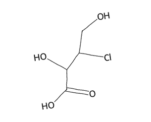 O=C(O)C(O)C(Cl)CO